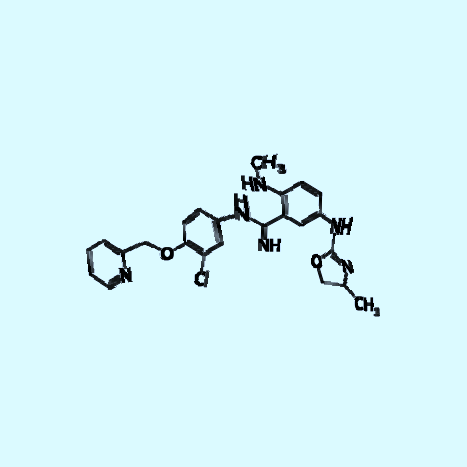 CNc1ccc(NC2=NC(C)CO2)cc1C(=N)Nc1ccc(OCc2ccccn2)c(Cl)c1